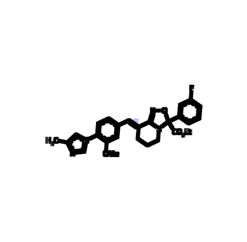 CCOC(=O)C1(c2cccc(F)c2)ON=C2/C(=C/c3ccc(-n4cnc(C)c4)c(OC)c3)CCCN21